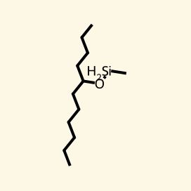 CCCCCCC(CCCC)O[SiH2]C